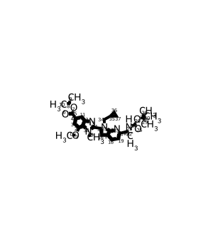 COc1cc(C(=O)OC(C)C)cc2nc(-c3cc4ccc([C@@H](C)NC(=O)OC(C)(C)C)nc4n3CC3CC3)n(C)c12